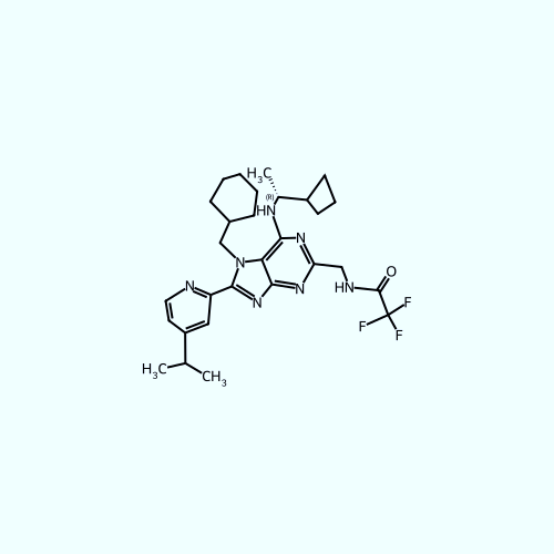 CC(C)c1ccnc(-c2nc3nc(CNC(=O)C(F)(F)F)nc(N[C@H](C)C4CCC4)c3n2CC2CCCCC2)c1